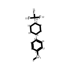 COc1ccc([C@H]2CC[C@@H](C(F)(F)F)CC2)cc1